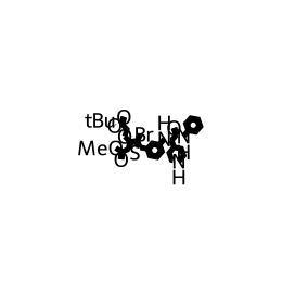 COC(=O)c1sc(-c2cccc(NC(C(=O)Nc3ccccc3)C3CCNCC3)c2)c(Br)c1OCC(=O)OC(C)(C)C